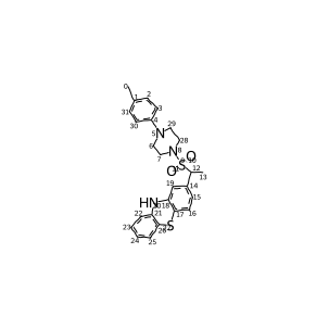 Cc1ccc(N2CCN(S(=O)(=O)C(C)c3ccc4c(c3)Nc3ccccc3S4)CC2)cc1